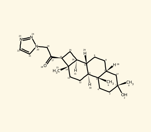 C[C@@]1(O)CC[C@@]2(C)[C@H](CC[C@@H]3[C@@H]2CC[C@]2(C)[C@@H](C(=O)Cn4ccnn4)C[C@@H]32)C1